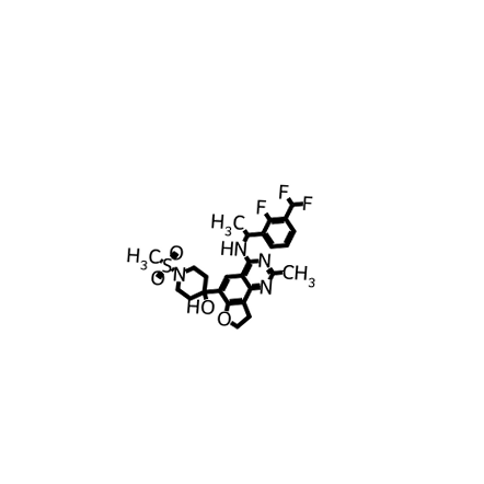 Cc1nc(NC(C)c2cccc(C(F)F)c2F)c2cc(C3(O)CCN(S(C)(=O)=O)CC3)c3c(c2n1)CCO3